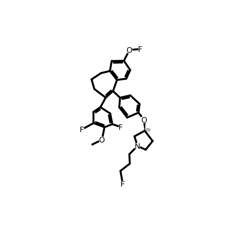 COc1c(F)cc(C2=C(c3ccc(O[C@H]4CCN(CCCF)C4)cc3)c3ccc(OF)cc3CCC2)cc1F